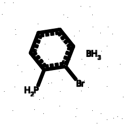 B.Pc1ccccc1Br